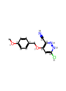 COc1ccc(COc2cc(Cl)nnc2C#N)cc1